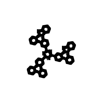 c1ccc2c(c1)nc1c3ccccc3c3cc(-c4nc(-c5ccc6c7ccccc7c7ccccc7c6c5)nc(-c5ccc6c7ccccc7n7c8ccccc8nc7c6c5)n4)ccc3n21